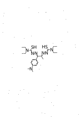 CCN(CC)/C(S)=N/N=C(C)/C(=N/N=C(\S)N(CC)CC)c1ccc(N(C)C)cc1